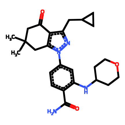 CC1(C)CC(=O)c2c(CC3CC3)nn(-c3ccc(C(N)=O)c(NC4CCOCC4)c3)c2C1